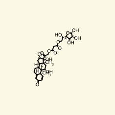 C[C@@H]1C[C@H]2[C@@H]3CCC4=CC(=O)C=C[C@]4(C)[C@@]3(F)[C@@H](O)C[C@]2(C)[C@@]1(O)C(=O)COC(=O)CC(=O)OCC(O)[C@H]1O[C@H](O)[C@H](O)[C@H]1O